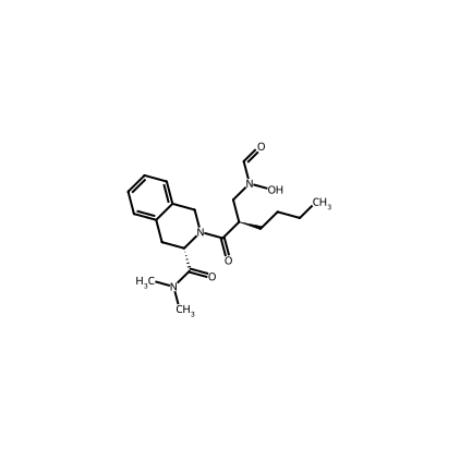 CCCC[C@H](CN(O)C=O)C(=O)N1Cc2ccccc2C[C@H]1C(=O)N(C)C